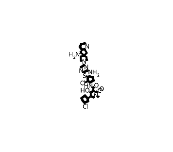 CN1C=C(c2cccc(Cl)c2)C(O)=C(C(=O)Nc2cccc(Sc3ncc(N4CCC5(CC4)Cc4ncccc4[C@H]5N)nc3N)c2Cl)C1=C=O